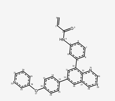 C=CC(=O)Nc1cccc(-c2cc(-c3ccc(Oc4cccnc4)cc3)cc3cncnc23)c1